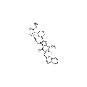 CC#CCn1c(N2CCCC(NC(=O)OC(C)(C)C)C2)nc2c1c(=O)n(Cc1cnc3ccccc3c1)c(=O)n2C